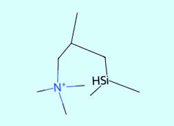 CC(C[SiH](C)C)C[N+](C)(C)C